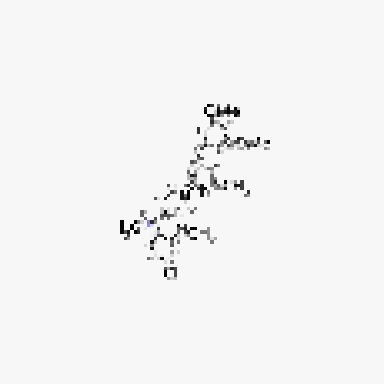 C=Nc1cc(Cl)ccc1/C(=C\C)N1CCN(c2nc(C)cc(Nc3cc(OC)cc(OC)c3)n2)CC1